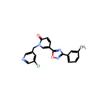 Cc1cccc(-c2noc(-c3ccc(=O)n(Cc4cncc(Cl)c4)c3)n2)c1